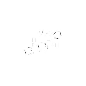 COc1ccccc1[C@H](C)CC(=N)CC(=O)Nc1ccccn1